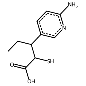 CCC(c1ccc(N)nc1)C(S)C(=O)O